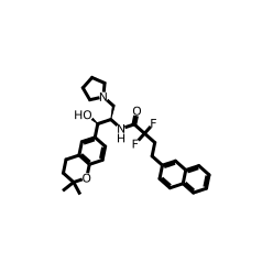 CC1(C)CCc2cc([C@@H](O)[C@@H](CN3CCCC3)NC(=O)C(F)(F)CCc3ccc4ccccc4c3)ccc2O1